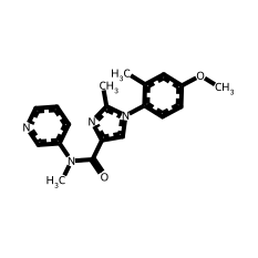 COc1ccc(-n2cc(C(=O)N(C)c3cccnc3)nc2C)c(C)c1